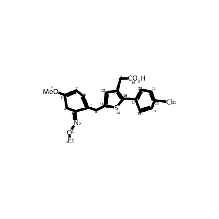 CCON=C1CC(OC)=CC=C1Cc1cc(CC(=O)O)c(-c2ccc(Cl)cc2)s1